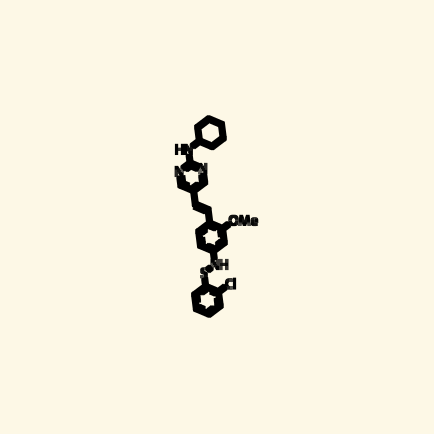 COc1cc(NSc2ccccc2Cl)ccc1/C=C/c1cnc(NC2CCCCC2)nc1